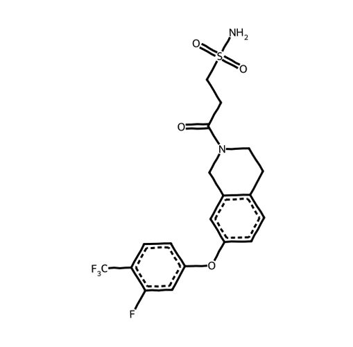 NS(=O)(=O)CCC(=O)N1CCc2ccc(Oc3ccc(C(F)(F)F)c(F)c3)cc2C1